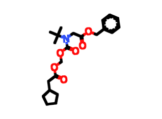 CC(C)(C)N(CC(=O)OCc1ccccc1)C(=O)OCOC(=O)CC1CCCC1